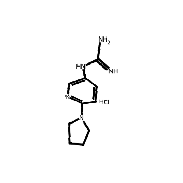 Cl.N=C(N)Nc1ccc(N2CCCC2)nc1